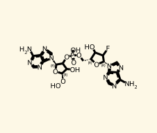 Nc1ncnc2c1ncn2[C@@H]1O[C@H](COP(=O)(O)OC2C(O)[C@@H](OO)O[C@H]2n2cnc3c(N)ncnc32)C(O)C1F